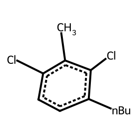 CCCCc1ccc(Cl)c(C)c1Cl